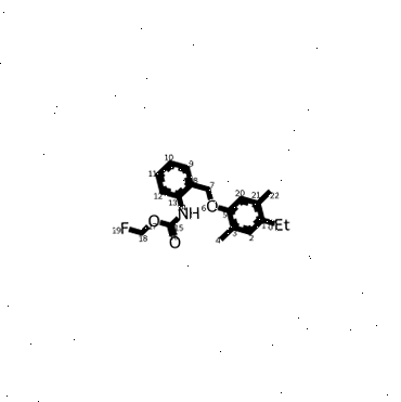 CCc1cc(C)c(OCc2ccccc2NC(=O)OCF)cc1C